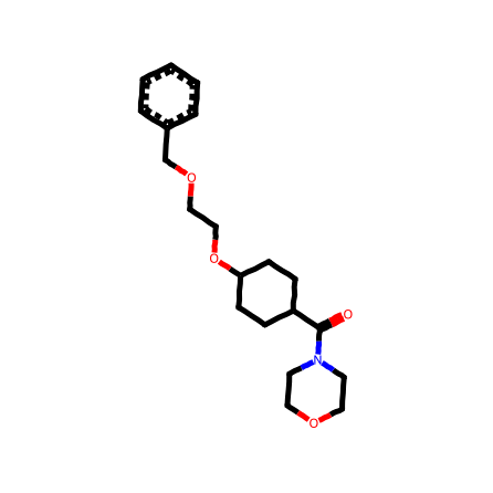 O=C(C1CCC(OCCOCc2ccccc2)CC1)N1CCOCC1